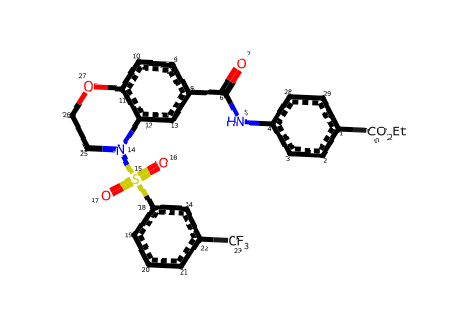 CCOC(=O)c1ccc(NC(=O)c2ccc3c(c2)N(S(=O)(=O)c2cccc(C(F)(F)F)c2)CCO3)cc1